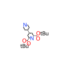 CC(C)(C)OC(=O)c1cc(-c2ccncc2)cc(C(=O)OC(C)(C)C)n1